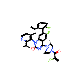 C=Cc1cccc(F)c1-c1cc2c(cc1F)c(N1[C@@H](C)CN(C(=O)C(=C)F)C[C@@H]1C)nc(=O)n2-c1c(C)ccnc1C(C)C